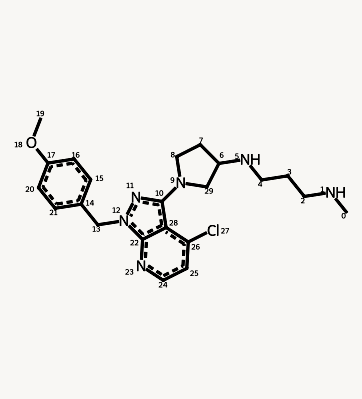 CNCCCNC1CCN(c2nn(Cc3ccc(OC)cc3)c3nccc(Cl)c23)C1